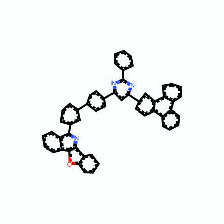 c1ccc(-c2nc(-c3ccc(-c4cccc(-c5nc6c7ccccc7oc6c6ccccc56)c4)cc3)cc(-c3ccc4c5ccccc5c5ccccc5c4c3)n2)cc1